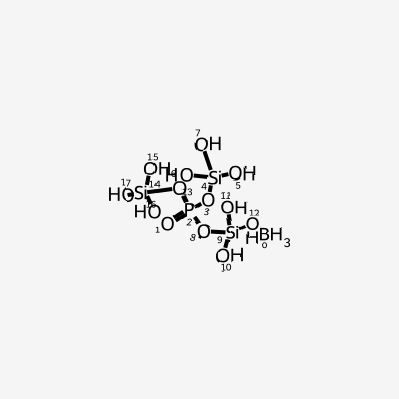 B.O=P(O[Si](O)(O)O)(O[Si](O)(O)O)O[Si](O)(O)O